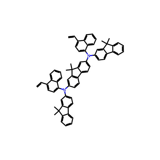 C=Cc1ccc(N(c2ccc3c(c2)C(C)(C)c2ccccc2-3)c2ccc3c(c2)C(C)(C)c2cc(N(c4ccc5c(c4)C(C)(C)c4ccccc4-5)c4ccc(C=C)c5ccccc45)ccc2-3)c2ccccc12